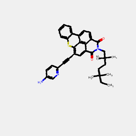 CCC(C)(C)CCC(C)(C)Cn1c(=O)c2ccc3c4ccccc4sc4c(C#Cc5ccc(N)cn5)cc(c1=O)c2c43